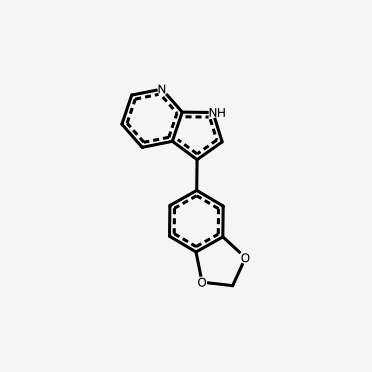 c1cnc2[nH]cc(-c3ccc4c(c3)OCO4)c2c1